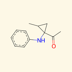 CC(=O)C1(Nc2ccccc2)CC1C